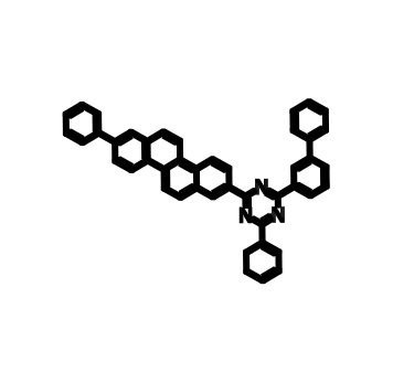 C1=CCCC(c2nc(-c3cccc(-c4ccccc4)c3)nc(-c3ccc4c(ccc5c6ccc(-c7ccccc7)cc6ccc45)c3)n2)=C1